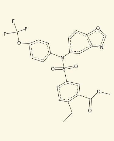 CCc1ccc(S(=O)(=O)N(c2ccc(OC(F)(F)F)cc2)c2ccc3ocnc3c2)cc1C(=O)OC